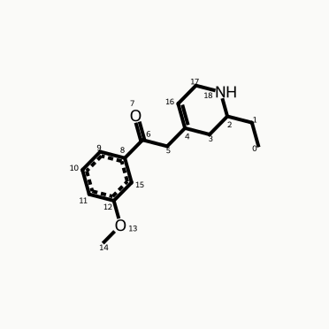 CCC1CC(CC(=O)c2cccc(OC)c2)=CCN1